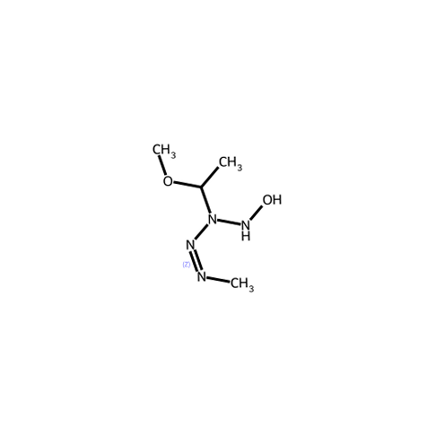 C/N=N\N(NO)C(C)OC